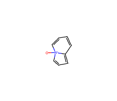 [O-][N+]12C=C[C]=C1C=CC=C2